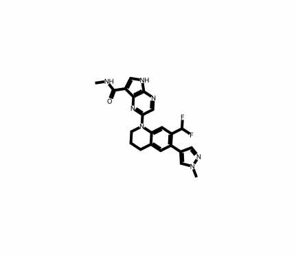 CNC(=O)c1c[nH]c2ncc(N3CCCc4cc(-c5cnn(C)c5)c(C(F)F)cc43)nc12